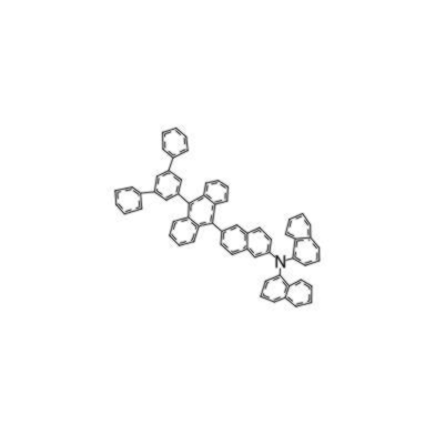 c1ccc(-c2cc(-c3ccccc3)cc(-c3c4ccccc4c(-c4ccc5cc(N(c6cccc7ccccc67)c6cccc7ccccc67)ccc5c4)c4ccccc34)c2)cc1